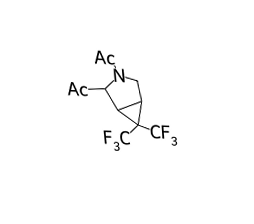 CC(=O)C1C2C(CN1C(C)=O)C2(C(F)(F)F)C(F)(F)F